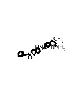 CC1=Cc2ccc(C(=O)Nc3ccc4c(c3)CCN(C(=O)OCc3ccccc3)C4)cc2N=C(N)C1